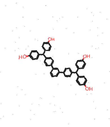 Oc1ccc(C(c2ccc(O)cc2)c2ccc(-c3cccc(-c4ccc(C(c5ccc(O)cc5)c5ccc(O)cc5)cc4)c3)cc2)cc1